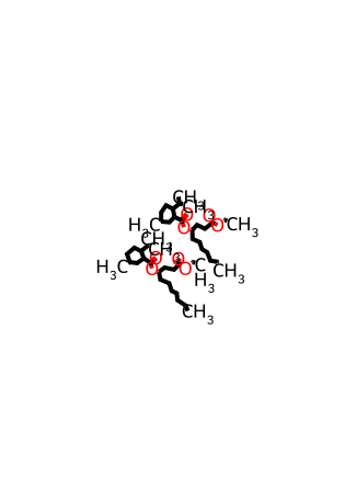 CCCCCCCC(CCC(=O)OCC)OC(=O)C1CC(C)CCC1C(C)C.CCCCCCCC(CCC(=O)OCC)OC(=O)C1CC(C)CCC1C(C)C